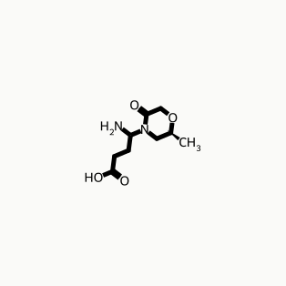 C[C@H]1CN(C(N)CCC(=O)O)C(=O)CO1